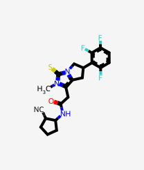 Cn1c(CC(=O)NC2CCCC2C#N)c2n(c1=S)CC(c1c(F)ccc(F)c1F)C2